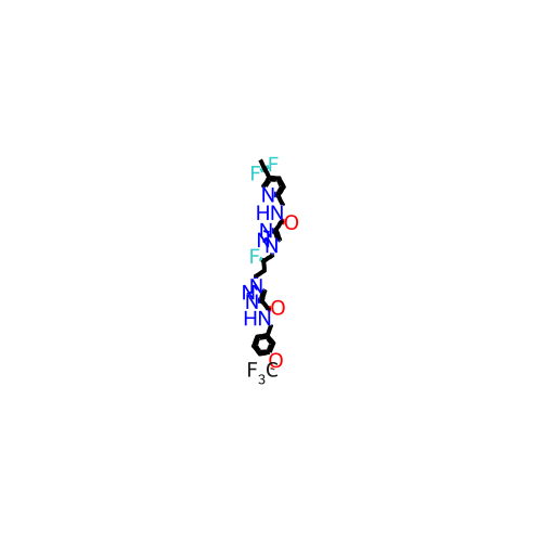 CC(F)(F)c1ccc(CNC(=O)c2cn(CC(F)CCn3cc(C(=O)NCc4cccc(OC(F)(F)F)c4)nn3)nn2)nc1